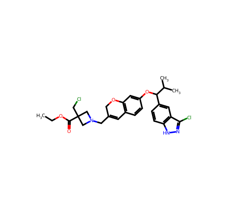 CCOC(=O)C1(CCl)CN(CC2=Cc3ccc(OC(c4ccc5[nH]nc(Cl)c5c4)C(C)C)cc3OC2)C1